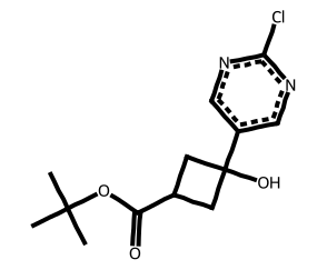 CC(C)(C)OC(=O)C1CC(O)(c2cnc(Cl)nc2)C1